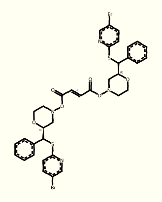 O=C(/C=C/C(=O)ON1CCO[C@H](C(Sc2ccc(Br)cn2)c2ccccc2)C1)ON1CCO[C@H](C(Sc2ccc(Br)cn2)c2ccccc2)C1